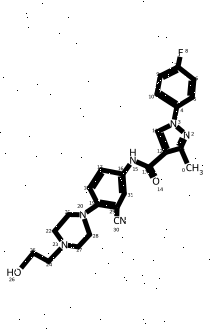 Cc1nn(-c2ccc(F)cc2)cc1C(=O)Nc1ccc(N2CCN(CCO)CC2)c(C#N)c1